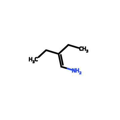 CCC(=CN)CC